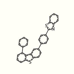 c1ccc(-c2cccc3sc4ccc(-c5ccc(-c6nc7ccccc7s6)cc5)cc4c23)cc1